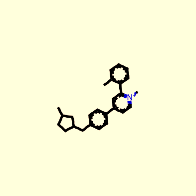 Cc1ccccc1-c1cc(-c2ccc(CC3CCC(C)C3)cc2)cc[n+]1C